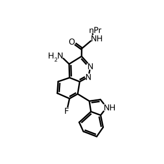 CCCNC(=O)c1nnc2c(-c3c[nH]c4ccccc34)c(F)ccc2c1N